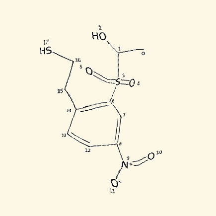 CC(O)S(=O)(=O)c1cc([N+](=O)[O-])ccc1CCS